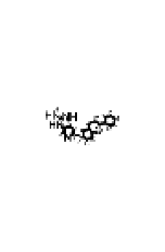 CNC(=N)Nc1ccc(Oc2ccc3c(c2)CCC(c2ccccc2)O3)nc1